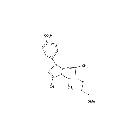 COCCOC1=C(C)C2C(C#N)=CN(c3ccc(C(=O)O)cc3)C2C=C1C